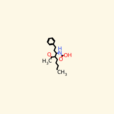 CCCCCC(C(C)=O)C(CCc1ccccc1)NC(=O)O